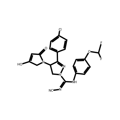 N#CN=C(Nc1ccc(OC(F)F)cc1)N1CC(N2CC(O)=CC2=O)C(c2ccc(Cl)cc2)=N1